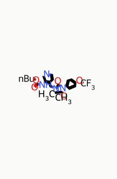 CCCCOC(=O)Nc1cnccc1CN1C(=O)N(c2ccc(OC(F)(F)F)cc2)C(=O)C1(C)C